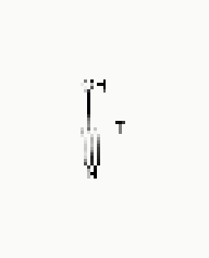 N#CO.[Ti]